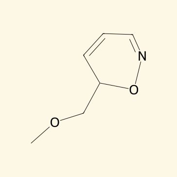 COCC1C=CC=NO1